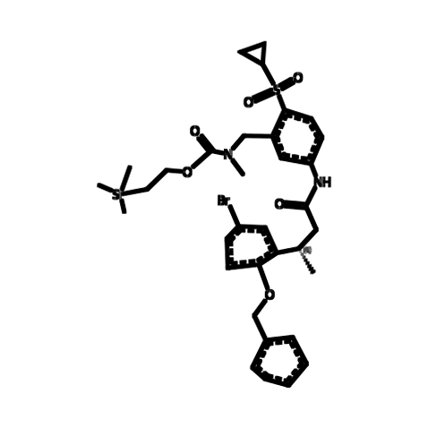 C[C@@H](CC(=O)Nc1ccc(S(=O)(=O)C2CC2)c(CN(C)C(=O)OCC[Si](C)(C)C)c1)c1cc(Br)ccc1OCc1ccccc1